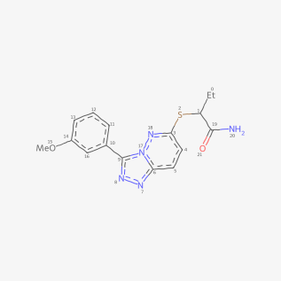 CCC(Sc1ccc2nnc(-c3cccc(OC)c3)n2n1)C(N)=O